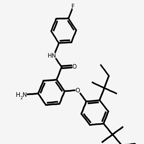 CCC(C)(C)c1ccc(Oc2ccc(N)cc2C(=O)Nc2ccc(F)cc2)c(C(C)(C)CC)c1